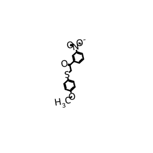 COc1ccc(SCC(=O)c2cccc([N+](=O)[O-])c2)cc1